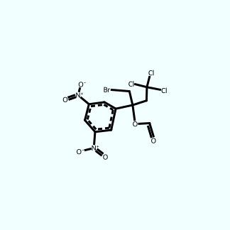 O=COC(CBr)(CC(Cl)(Cl)Cl)c1cc([N+](=O)[O-])cc([N+](=O)[O-])c1